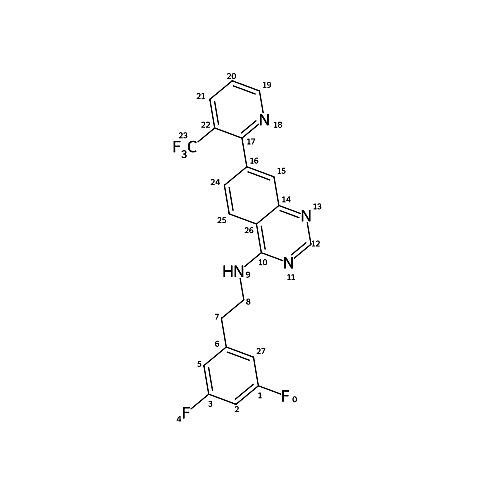 Fc1cc(F)cc(CCNc2ncnc3cc(-c4ncccc4C(F)(F)F)ccc23)c1